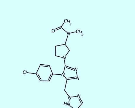 CC(=O)N(C)C1CCN(c2nnc(CN3N=CCN3)n2-c2ccc(Cl)cc2)C1